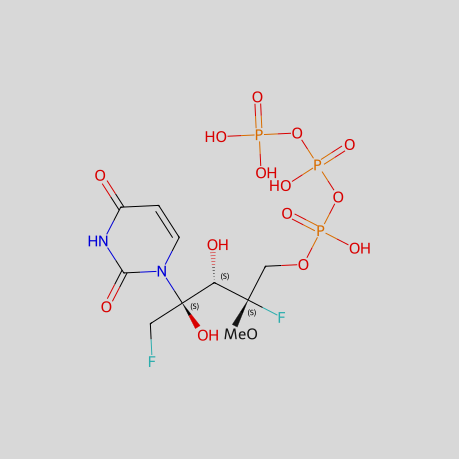 CO[C@](F)(COP(=O)(O)OP(=O)(O)OP(=O)(O)O)[C@@H](O)[C@](O)(CF)n1ccc(=O)[nH]c1=O